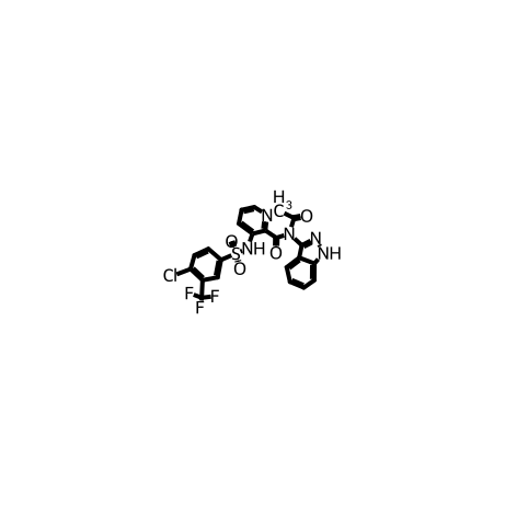 CC(=O)N(C(=O)c1ncccc1NS(=O)(=O)c1ccc(Cl)c(C(F)(F)F)c1)c1n[nH]c2ccccc12